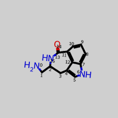 NCC1Cc2c[nH]c3cccc(c23)C(=O)N1